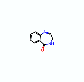 O=C1NC[C]=Nc2ccccc21